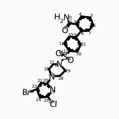 NC(=O)c1ccccc1-c1ccc(S(=O)(=O)N2CCN(c3cc(Br)cc(Cl)n3)CC2)cc1